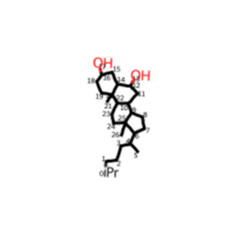 CC(C)CCCC(C)C1CCC2C3CC(O)C4CC(O)CCC4(C)C3CCC12C